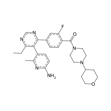 CCc1ncnc(-c2ccc(C(=O)N3CCN(C4CCOCC4)CC3)c(F)c2)c1-c1ccc(N)nc1C